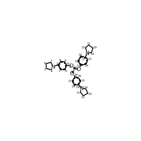 c1cc(N2CCCC2)ccc1OP(Oc1ccc(N2CCCC2)cc1)Oc1ccc(N2CCCC2)cc1